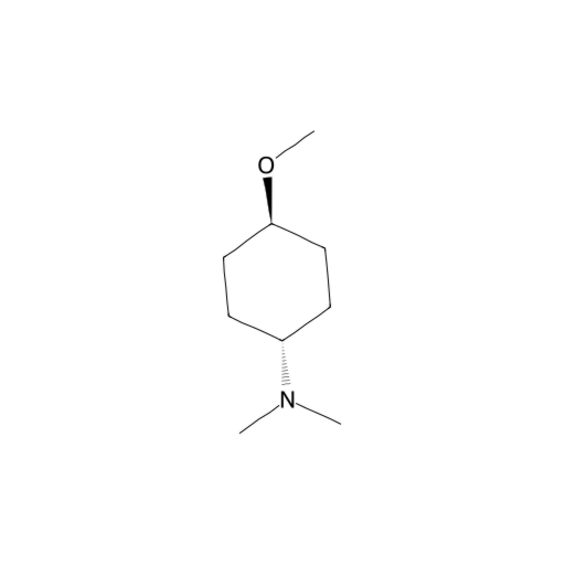 CO[C@H]1CC[C@H](N(C)C)CC1